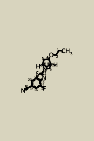 CCCO[C@@H]1C[C@@H]2C[C@H]1CN2c1nc2c(F)cc(C#N)cc2s1